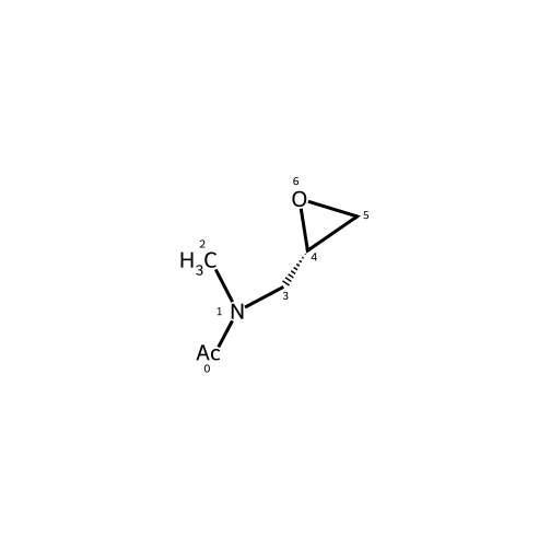 CC(=O)N(C)C[C@H]1CO1